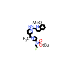 COc1cccc2ccc(-c3nnc4ccc([C@@H](N5CC[C@H](N(CCF)C(=O)OC(C)(C)C)C5)C(F)(F)F)cn34)nc12